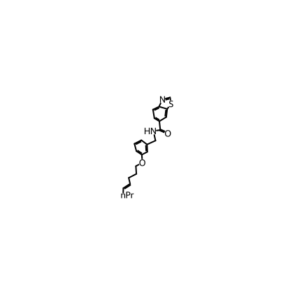 CCCC=CCCCOc1cccc(CNC(=O)c2ccc3ncsc3c2)c1